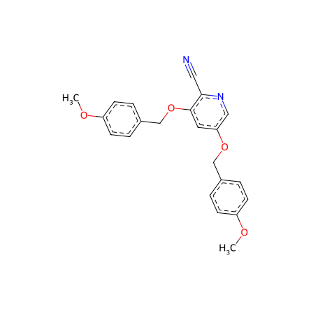 COc1ccc(COc2cnc(C#N)c(OCc3ccc(OC)cc3)c2)cc1